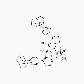 CCC[SiH](C)[Zr]([Cl])([Cl])([CH]1C(CC(C)(C)C)=Cc2c(-c3ccc(C45CC6CC(CC(C6)C4)C5)cc3)cccc21)[CH]1C(CC(C)(C)C)=Cc2c(-c3ccc(C45CC6CC(CC(C6)C4)C5)cc3)cccc21